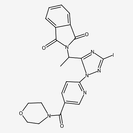 CC(c1nc(I)nn1-c1ccc(C(=O)N2CCOCC2)cn1)N1C(=O)c2ccccc2C1=O